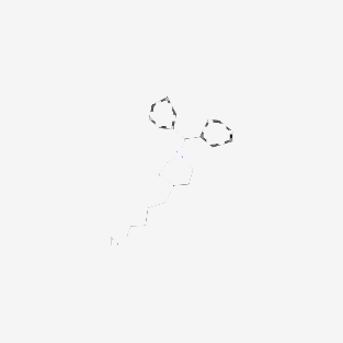 N#CCCCCC1CCN(C(c2ccccc2)c2ccccc2)CC1